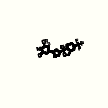 Cc1nc(-n2cc(C3(C)OCc4cc(C(F)(F)F)ccc43)cn2)cc(=O)[nH]1